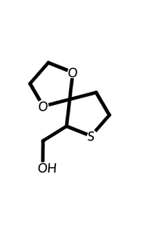 OCC1SCCC12OCCO2